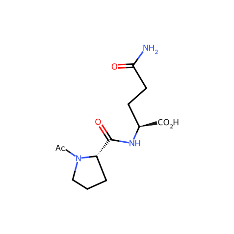 CC(=O)N1CCC[C@H]1C(=O)N[C@@H](CCC(N)=O)C(=O)O